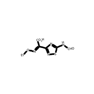 CCON=C(C(=O)O)c1nsc(NC=O)n1